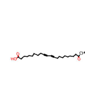 CC(=O)CCCCCCCCC#CC#CCCCCCCCCC(=O)O